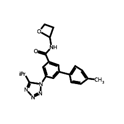 Cc1ccc(-c2cc(C(=O)NC3CCO3)cc(-n3nnnc3C(C)C)c2)cc1